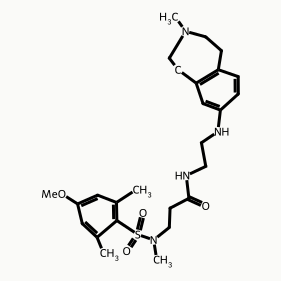 COc1cc(C)c(S(=O)(=O)N(C)CCC(=O)NCCNc2ccc3c(c2)CCN(C)CC3)c(C)c1